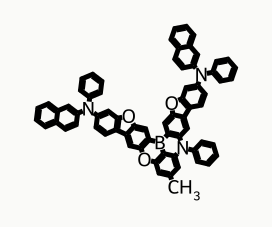 Cc1cc2c3c(c1)N(c1ccccc1)c1cc4c(cc1B3c1cc3oc5cc(N(c6ccccc6)c6ccc7ccccc7c6)ccc5c3cc1O2)oc1cc(N(c2ccccc2)c2ccc3ccccc3c2)ccc14